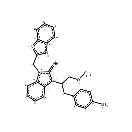 COCC(Cc1ccc(C)cc1)n1c(=N)n(Cc2nc3ccccc3s2)c2ccccc21